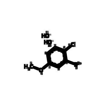 [B+2]c1cc(OC)ccc1Cl.[OH-].[OH-]